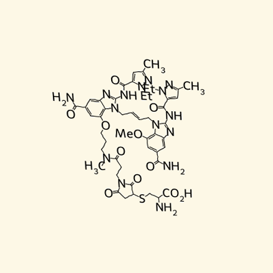 CCn1nc(C)cc1C(=O)Nc1nc2cc(C(N)=O)cc(OC)c2n1C/C=C/Cn1c(NC(=O)c2cc(C)nn2CC)nc2cc(C(N)=O)cc(OCCCN(C)C(=O)CCN3C(=O)CC(SCC(N)C(=O)O)C3=O)c21